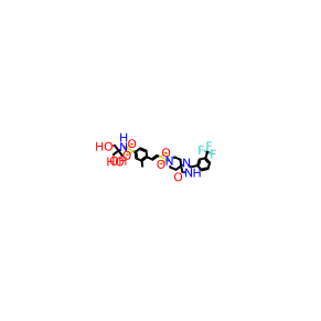 Cc1cc(S(=O)(=O)NC(CO)(CO)CO)ccc1C=CS(=O)(=O)N1CCC2(CC1)N=C(c1cccc(C(F)(F)F)c1)NC2=O